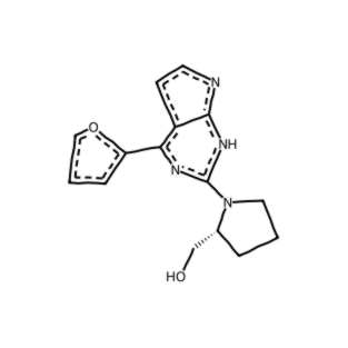 OC[C@H]1CCCN1c1nc(-c2ccco2)c2ccnc-2[nH]1